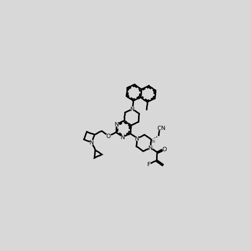 C=C(F)C(=O)N1CCN(c2nc(OCC3CCN3C3CC3)nc3c2CCN(c2cccc4cccc(C)c24)C3)C[C@@H]1CC#N